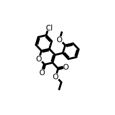 CCOC(=O)c1c(-c2ccccc2OC)c2cc(Cl)ccc2oc1=O